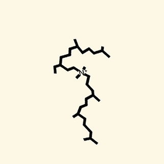 CCC(CCCC(C)CCCC(C)C)CC[N+](C)(C)CCCC(C)CCCC(C)CCCC(C)C